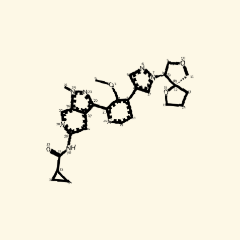 COc1c(-c2cnn([C@H]3COC[C@@]34CCCO4)c2)ccnc1-c1nn(C)c2cnc(NC(=O)C3CC3)cc12